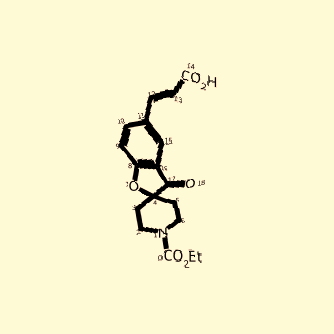 CCOC(=O)N1CCC2(CC1)Oc1ccc(C=CC(=O)O)cc1C2=O